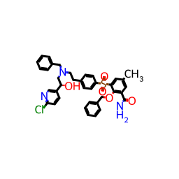 Cc1cc(C(N)=O)c(OCc2ccccc2)c(S(=O)(=O)c2ccc(CCN(Cc3ccccc3)C[C@@H](O)c3ccc(Cl)nc3)cc2)c1